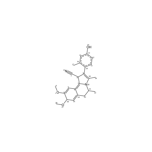 COC1=CC2=C3C(C#N)C(c4ccc(O)cc4C)=C(C)N3C(C)CC2=CC1OC